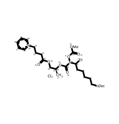 CCCCCCCCCCCCCCCC(CC)N(OC(=O)OC)C(=O)O[C@@H](C)COC(=O)CCC[n+]1ccccc1.[Cl-]